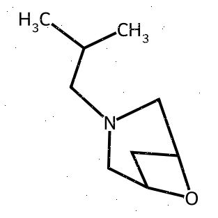 CC(C)CN1CC2CC(C1)O2